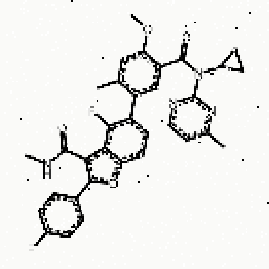 CNC(=O)c1c(-c2ccc(F)cc2)oc2ccc(-c3cc(C(=O)N(c4nccc(C)n4)C4CC4)c(OC)cc3C)c(F)c12